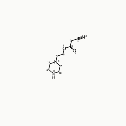 N#CCC(=O)OCCN1CCNCC1